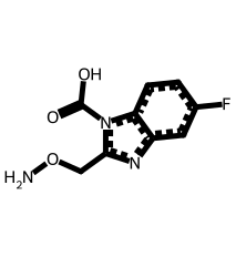 NOCc1nc2cc(F)ccc2n1C(=O)O